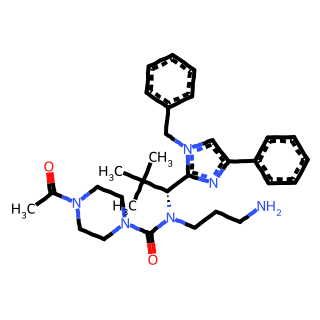 CC(=O)N1CCN(C(=O)N(CCCN)[C@@H](c2nc(-c3ccccc3)cn2Cc2ccccc2)C(C)(C)C)CC1